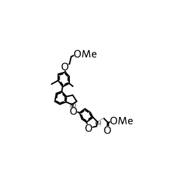 COCCOc1cc(C)c(-c2cccc3c2CC[C@H]3Oc2ccc3c(c2)OC[C@H]3CC(=O)OC)c(C)c1